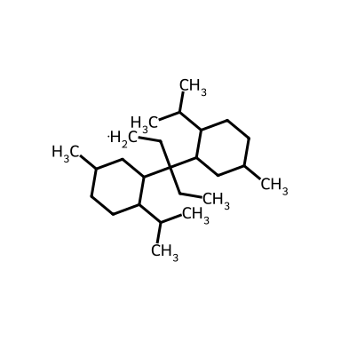 [CH2]CC(CC)(C1CC(C)CCC1C(C)C)C1CC(C)CCC1C(C)C